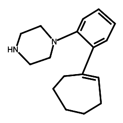 C1=C(c2ccccc2N2CCNCC2)CCCCC1